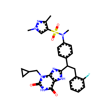 Cc1nn(C)cc1S(=O)(=O)N(C)c1ccc(C(Cc2ccccc2F)c2nc3c([nH]2)c(=O)[nH]c(=O)n3CC2CC2)cc1